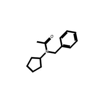 CC(=O)N(Cc1cc[c]cc1)C1CCCC1